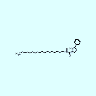 CCCCCCCCCCCCCCCCCCCNC(=O)[C@@H]1CSC(c2ccccc2)N1